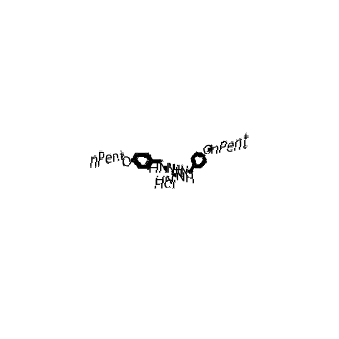 CCCCCOc1ccc(CNNC(=N)NNCc2ccc(OCCCCC)cc2)cc1.Cl